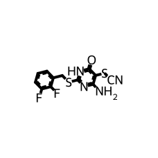 N#CSc1c(N)nc(SCc2cccc(F)c2F)[nH]c1=O